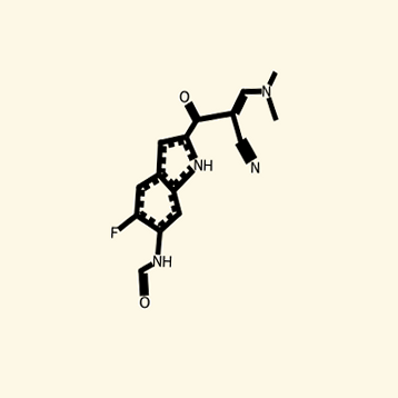 CN(C)/C=C(\C#N)C(=O)c1cc2cc(F)c(NC=O)cc2[nH]1